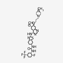 COc1cc2c(Nc3nc4ccc(NC(=O)Nc5cc(C(F)(F)F)ccc5F)cc4s3)ncnc2cc1OCCCN1CCN(C)CC1